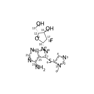 Cn1cncc1Sc1nn([C@@H]2O[C@H](CO)[C@@H](O)[C@@H]2F)c2ncnc(N)c12